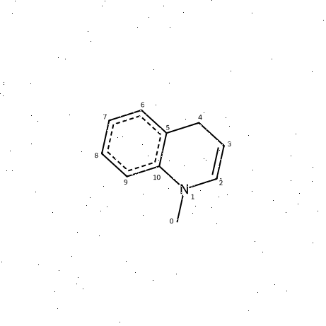 CN1[C]=CCc2ccccc21